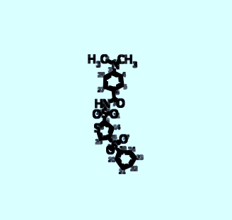 CN(C)c1ccc(C(=O)NS(=O)(=O)c2cc(S(=O)(=O)c3ccccc3)cs2)cc1